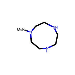 CNN1CCNCCNCC1